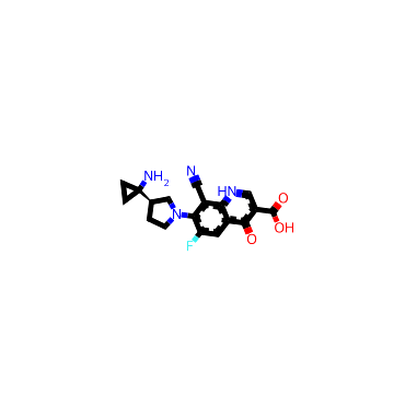 N#Cc1c(N2CC[C@@H](C3(N)CC3)C2)c(F)cc2c(=O)c(C(=O)O)c[nH]c12